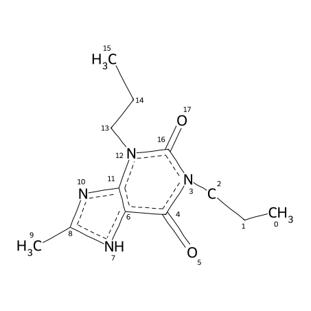 CCCn1c(=O)c2[nH]c(C)nc2n(CCC)c1=O